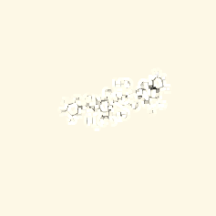 CO[C@H]1C(O[P@@]2O[C@](C)(c3ccccc3)[C@@H]3CCCN32)[C@@H](CO)O[C@H]1n1cc(C)c(NC(=O)c2ccccc2)nc1=O